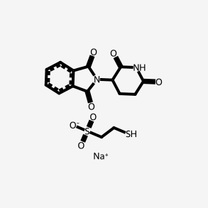 O=C1CCC(N2C(=O)c3ccccc3C2=O)C(=O)N1.O=S(=O)([O-])CCS.[Na+]